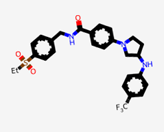 CCS(=O)(=O)c1ccc(CNC(=O)c2ccc(N3CCC(Nc4ccc(C(F)(F)F)cc4)C3)cc2)cc1